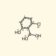 OB(O)c1c(O)cccc1Cl